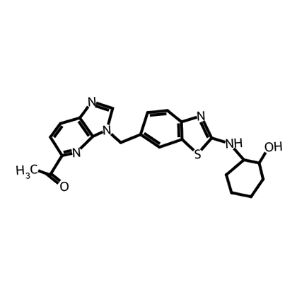 CC(=O)c1ccc2ncn(Cc3ccc4nc(NC5CCCCC5O)sc4c3)c2n1